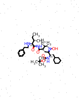 CC[C@H](C)[C@H](NCCc1ccccc1)C(=O)NC(=O)[C@@H](CC(=NO)[C@H](CC1CCCCC1)NC(=O)OC(C)(C)C)C(C)C